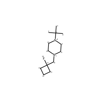 CC(C)(C)N1CCN(CC2(F)CCC2)CC1